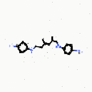 C/C(=C\C(C)CNc1ccc(N)cc1)CCNc1ccc(N)cc1